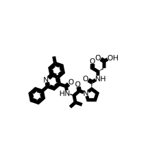 Cc1ccc2c(C(=O)N[C@H](C(=O)N3CCC[C@H]3C(=O)N[C@H](C=O)CC(=O)O)C(C)C)cc(-c3ccccc3)nc2c1